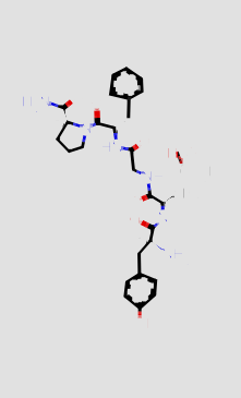 CC(=O)O.CCCC[C@@H](NC(=O)[C@@H](N)Cc1ccc(O)cc1)C(=O)NCC(=O)N[C@@H](Cc1ccccc1)C(=O)N1CCC[C@H]1C(N)=O.O